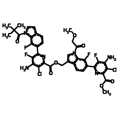 COCC(=O)n1cc(COC(=O)c2nc(-c3ccc4ccn(C(=O)C(C)(C)C)c4c3F)c(F)c(N)c2Cl)c2ccc(-c3nc(C(=O)OC)c(Cl)c(N)c3F)c(F)c21